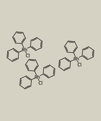 [Cl][Rh]([c]1ccccc1)([c]1ccccc1)[c]1ccccc1.[Cl][Rh]([c]1ccccc1)([c]1ccccc1)[c]1ccccc1.[Cl][Rh]([c]1ccccc1)([c]1ccccc1)[c]1ccccc1